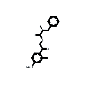 COc1ccc(C(=O)CSC(=O)[C@@H](C)Cc2ccccc2)c(C)c1